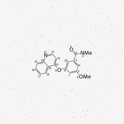 CNC(=O)c1cc(OC)cc(Oc2ccnc3ccccc23)c1